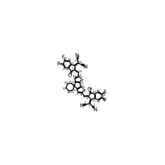 N#CC(C#N)=C1/C(=C/c2cc3c(s2)-c2sc(/C=C4\C(=O)c5cc(F)c(F)cc5C4=C(C#N)C#N)cc2C32CCCCC2)C(=O)c2cc(F)c(F)cc21